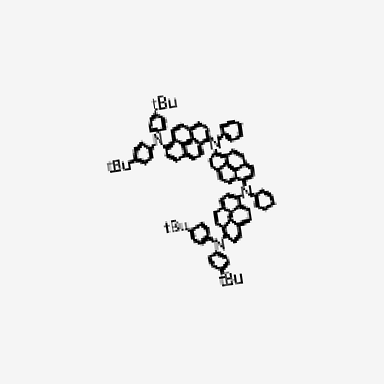 CC(C)(C)c1ccc(N(c2ccc(C(C)(C)C)cc2)c2ccc3ccc4c(N(c5ccccc5)c5ccc6ccc7c(N(c8ccccc8)c8ccc9ccc%10c(N(c%11ccc(C(C)(C)C)cc%11)c%11ccc(C(C)(C)C)cc%11)ccc%11ccc8c9c%11%10)ccc8ccc5c6c87)ccc5ccc2c3c54)cc1